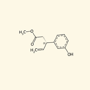 C=C[C@H](CC(=O)OC)c1cccc(O)c1